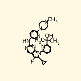 CN1CCN(c2ccc(Nc3ncc4c(F)c(C5CC5)n(-c5cccc(C(C)(C)O)n5)c4n3)cn2)CC1